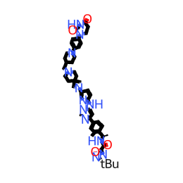 Cc1cc(-c2cc(Nc3ccc(N4CC5(CCN(CC6CCN(c7ccc(N8CCC(=O)NC8=O)cc7)CC6)CC5)C4)cn3)ncn2)ccc1[C@@H](C)NC(=O)c1nc(C(C)(C)C)no1